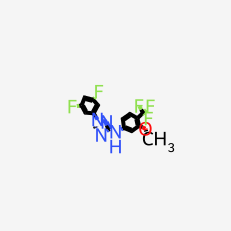 COc1cc(Nc2ncn(-c3cc(F)cc(F)c3)n2)ccc1C(F)(F)F